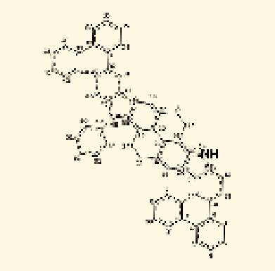 c1ccc(-c2ccccc2-c2ccc3[nH]c4c5c6c(cc4c3c2)CCc2c-6c(cc3c4cc(-c6ccccc6-c6ccccc6)ccc4n(-c4ccccc4)c23)CC5)cc1